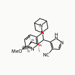 CC[C@H](C)[C@H](C)[C@@H](C)C(c1[nH]ncc1C#N)N1CC2CC(C1)N2Cc1ccc(OC)nc1